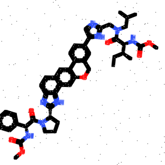 CC[C@H](C)[C@H](NC(=O)OC)C(=O)N(Cc1ncc(-c2ccc3c(c2)COc2cc4c(ccc5nc([C@@H]6CCCN6C(=O)[C@H](NC(=O)OC)c6ccccc6)[nH]c54)cc2-3)[nH]1)CC(C)C